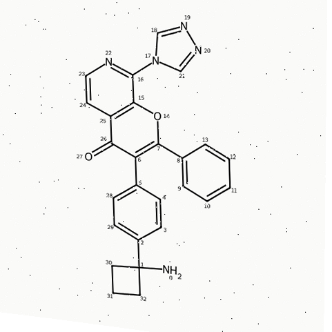 NC1(c2ccc(-c3c(-c4ccccc4)oc4c(-n5cnnc5)nccc4c3=O)cc2)CCC1